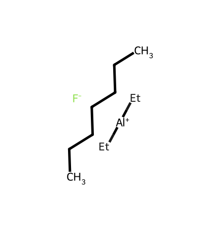 CCCCCCC.C[CH2][Al+][CH2]C.[F-]